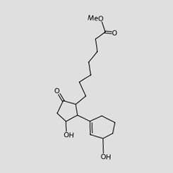 COC(=O)CCCCCCC1C(=O)CC(O)C1C1=CC(O)CCC1